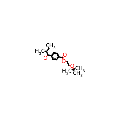 CCC(C)C(=O)c1ccc(C(=O)OCCOC(C)(C)C)cc1